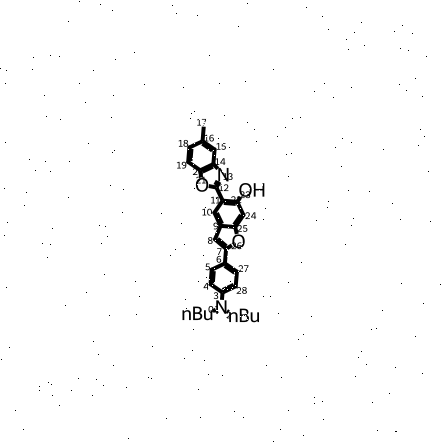 CCCCN(CCCC)c1ccc(-c2cc3cc(-c4nc5cc(C)ccc5o4)c(O)cc3o2)cc1